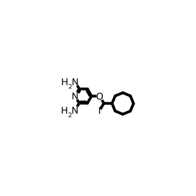 Nc1cc(OC(I)C2CCCCCCC2)cc(N)n1